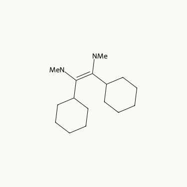 CN/C(=C(\NC)C1CCCCC1)C1CCCCC1